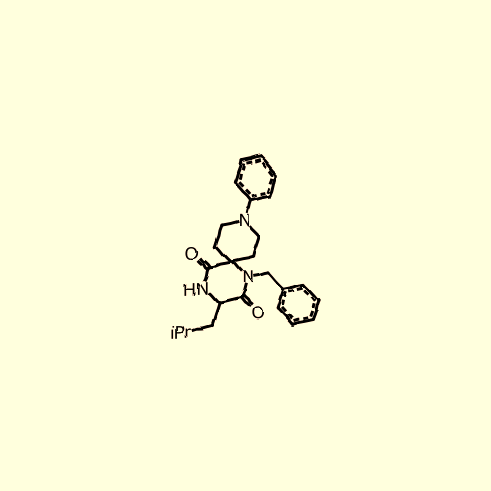 CC(C)CC1NC(=O)C2(CCN(c3ccccc3)CC2)N(Cc2ccccc2)C1=O